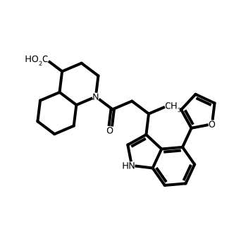 CC(CC(=O)N1CCC(C(=O)O)C2CCCCC21)c1c[nH]c2cccc(-c3ccco3)c12